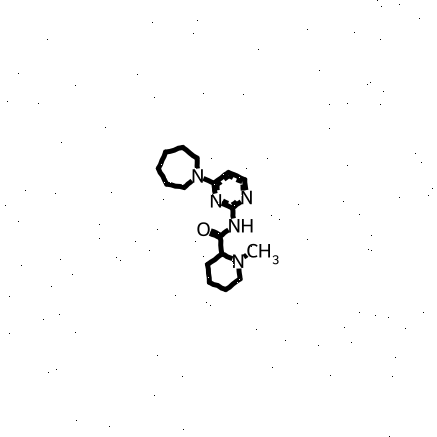 CN1CCCCC1C(=O)Nc1nccc(N2CCCCCC2)n1